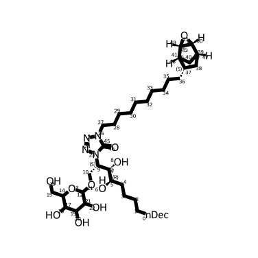 CCCCCCCCCCCCCC[C@@H](O)[C@@H](O)[C@H](COC1OC(CO)C(O)C(O)C1O)n1nnn(CCCCCCCCCC[C@H]2C[C@@H]3C[C@H]2[C@@H]2O[C@H]32)c1=O